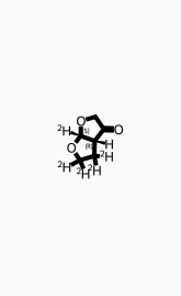 [2H]C1([2H])O[C@]2([2H])OCC(=O)[C@@H]2C1([2H])[2H]